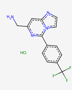 Cl.NCc1cc2nccn2c(-c2ccc(C(F)(F)F)cc2)n1